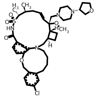 CO[C@@]1(CN2CCN([C@@H]3CCOC3)CC2)/C=C/C[C@H](C)[C@@H](C)S(=O)(=O)NC(=O)c2ccc3c(c2)N(CCCCc2cc(Cl)ccc2CO3)C[C@@H]2CC[C@H]21